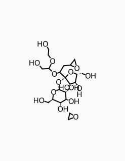 C1CO1.OCCOC(CO)OC(CC1CO1)[C@@]1(O[C@H]2O[C@H](CO)[C@@H](O)[C@H](O)[C@H]2O)O[C@H](CO)[C@@H](O)[C@@H]1O